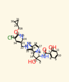 CC(O)(CNC(=O)c1ccccc1O)Cc1nccc2nn(Cc3cnc(OCC4CC4)c(Cl)c3)cc12